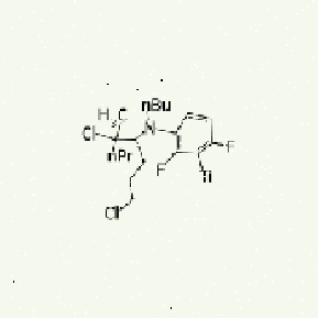 CCCCN(c1ccc(F)[c]([Ti])c1F)C(CCCCl)C(C)(Cl)CCC